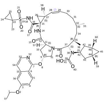 CCOc1ccc2c(O[C@@H]3C[C@H]4C(=O)N[C@]5(C(=O)NS(=O)(=O)C6(C)CC6)C[C@H]5/C=C\CC[C@H](C)C[C@@H](C)[C@H](N(C(=O)O)[C@@H]5C[C@H]6C[C@H]6C5)C(=O)N4C3)nccc2c1